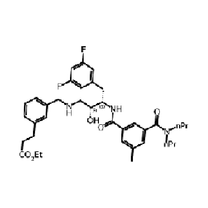 CCCN(CCC)C(=O)c1cc(C)cc(C(=O)N[C@@H](Cc2cc(F)cc(F)c2)[C@H](O)CNCc2cccc(CCC(=O)OCC)c2)c1